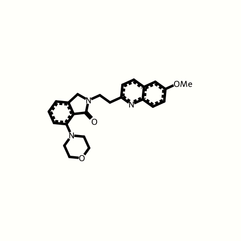 COc1ccc2nc(CCN3Cc4cccc(N5CCOCC5)c4C3=O)ccc2c1